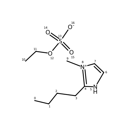 CCCCc1[nH]cc[n+]1C.CCOS(=O)(=O)[O-]